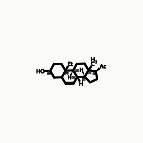 CC[C@]12CC[C@H](O)CC1C=C[C@@H]1[C@@H]2CC[C@]2(C)[C@@H](C(C)=O)CC[C@@H]12